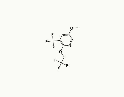 COc1cnc(OCC(F)(F)F)c(C(F)(F)F)c1